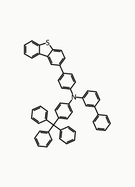 c1ccc(-c2cccc(N(c3ccc(-c4ccc5sc6ccccc6c5c4)cc3)c3ccc(C(c4ccccc4)(c4ccccc4)c4ccccc4)cc3)c2)cc1